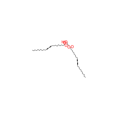 CCCCCCCCCCC#CC#CCCCCCCCCC(=O)OC[C@H](CO)OC(=O)CCCCCCCCC#CC#CCCCCCCCCCC